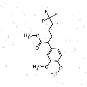 COC(=O)C(CCCC(F)(F)F)c1ccc(OC)c(OC)c1